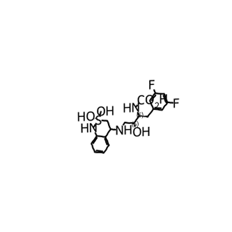 O=C(O)N[C@@H](Cc1cc(F)cc(F)c1)[C@@H](O)CNC1CS(O)(O)Nc2ccccc21